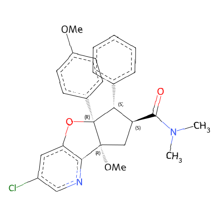 COc1ccc([C@@]23Oc4cc(Cl)cnc4[C@]2(OC)C[C@H](C(=O)N(C)C)[C@H]3c2ccccc2)cc1